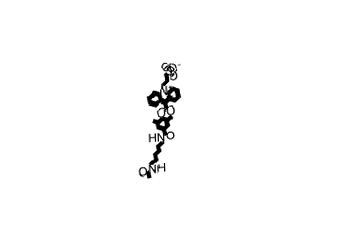 CC(=O)NCCCCCCNC(=O)c1cc(C)c(OC(=O)c2c3ccccc3[n+](CCCS(=O)(=O)[O-])c3ccccc23)c(C)c1